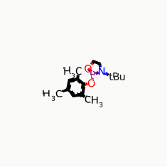 Cc1cc(C)c(OP2OCCN2C(C)(C)C)c(C)c1